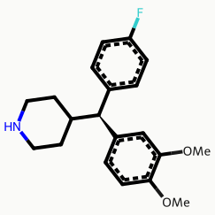 COc1ccc([C@H](c2ccc(F)cc2)C2CCNCC2)cc1OC